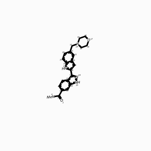 CNC(=O)c1ccc2c(-c3cc4cc(CN5CCOCC5)ccc4[nH]3)n[nH]c2c1